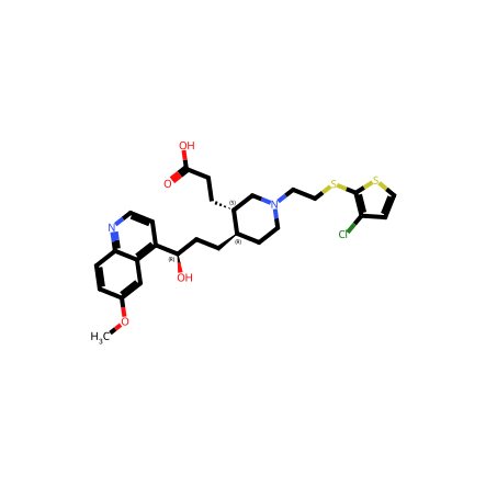 COc1ccc2nccc([C@H](O)CC[C@@H]3CCN(CCSc4sccc4Cl)C[C@H]3CCC(=O)O)c2c1